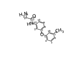 Cc1cccc(Oc2cccc(NC(=O)CN)c2)c1